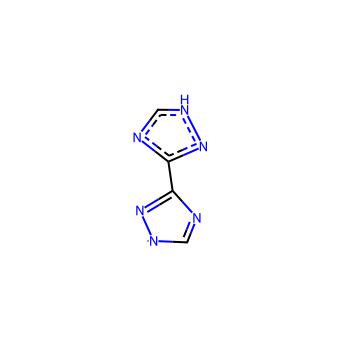 C1=NC(c2nc[nH]n2)=N[N]1